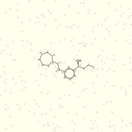 CCC[C@H](O)c1cccc(OCC2CCCCCC2)c1